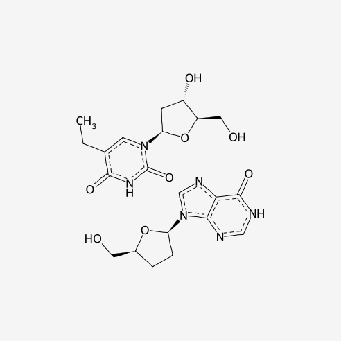 CCc1cn([C@H]2C[C@H](O)[C@@H](CO)O2)c(=O)[nH]c1=O.O=c1[nH]cnc2c1ncn2[C@H]1CC[C@@H](CO)O1